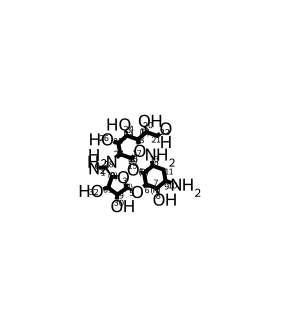 NC[C@H]1O[C@@H](OC2[C@H](O)C(N)CC(N)[C@H]2O[C@H]2OC([C@H](O)CO)[C@@H](O)C(O)C2N)C(O)C1O